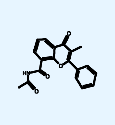 CC(=O)NC(=O)c1cccc2c(=O)c(C)c(-c3ccccc3)oc12